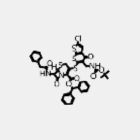 CC(C)(C)OC(=O)NCc1c(SC2=C(C(=O)OC(c3ccccc3)c3ccccc3)N3C(=O)C(NC(=O)Cc4ccccc4)[C@H]3SC2)sc2sc(Cl)cc2c1=O